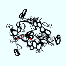 C[C@H](CCC(=O)O)[C@H]1CCC2C3C(C[C@H](O)[C@@]21C)[C@@]1(C)C(COC24CC5CC(OCC6C[C@](O)(OCOC7C8CC9CC(C8)CC7C9)C[C@H]7C[C@@H](O)C8C(C[C@H](O)[C@@]9(C)C8CC[C@@H]9[C@H](C)CCC(=O)O)[C@@]67C)(C2)CC(OCC2C[C@](O)(OCOC6C7CC8CC(C7)CC6C8)C[C@H]6C[C@@H](O)C7C(C[C@H](O)[C@@]8(C)C7CC[C@@H]8[C@H](C)CCC(=O)O)[C@@]26C)(C5)C4)C[C@](O)(OCOC2C4CC5CC(C4)CC2C5)C[C@H]1C[C@H]3O